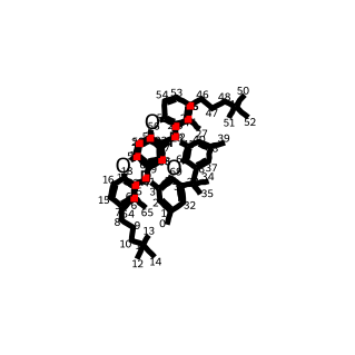 Cc1cc(P2c3cc(CCCC(C)(C)C)ccc3Oc3ccc(CCC(C)C)cc32)c2c(c1)C(C)(C)c1cc(C)cc(P3c4cc(CCCC(C)(C)C)ccc4Oc4ccc(CCC(C)C)cc43)c1O2